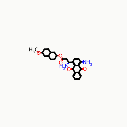 COC1CCC2CC(OC(=O)CC(N)c3ccc(N)c4c3C(=O)c3ccccc3C4=O)CCC2C1